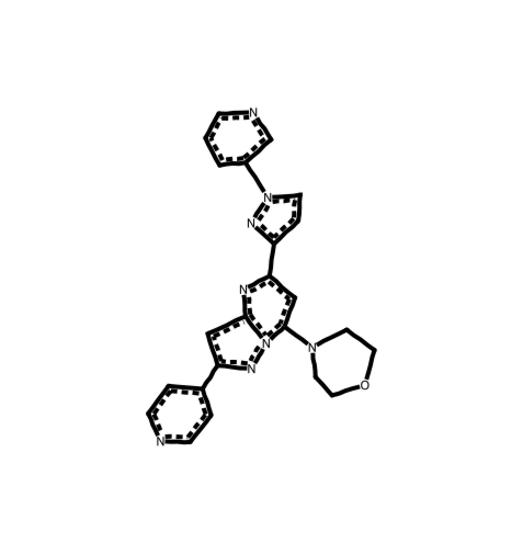 c1cncc(-n2ccc(-c3cc(N4CCOCC4)n4nc(-c5ccncc5)cc4n3)n2)c1